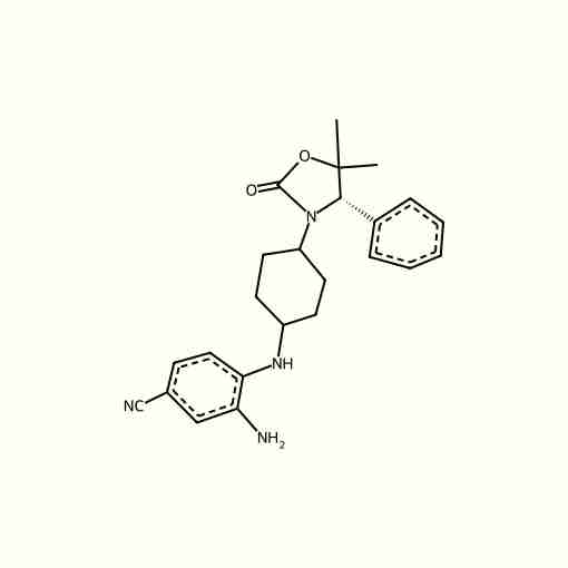 CC1(C)OC(=O)N(C2CCC(Nc3ccc(C#N)cc3N)CC2)[C@H]1c1ccccc1